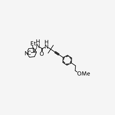 CCC1(NC(=O)NC(C)(C)C#Cc2ccc(CCOC)cc2)CN2CCC1CC2